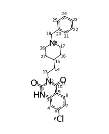 O=c1[nH]c2cc(Cl)ccc2c(=O)n1CCC1CCN(Cc2ccccc2)CC1